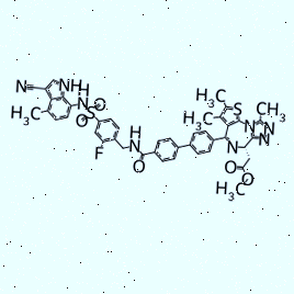 COC(=O)C[C@@H]1N=C(c2ccc(-c3ccc(C(=O)NCc4ccc(S(=O)(=O)Nc5ccc(C)c6c(C#N)c[nH]c56)cc4F)cc3)cc2)c2c(sc(C)c2C)-n2c(C)nnc21